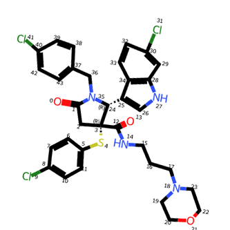 O=C1C[C@](Sc2ccc(Cl)cc2)(C(=O)NCCCN2CCOCC2)[C@@H](c2c[nH]c3cc(Cl)ccc23)N1Cc1ccc(Cl)cc1